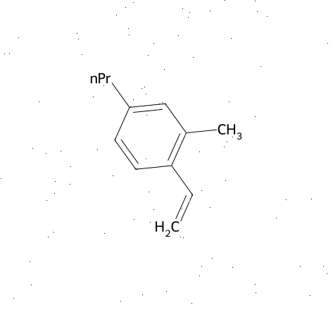 C=Cc1ccc(CCC)cc1C